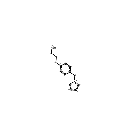 CC(C)(C)CCCc1ccc(Cn2ccnc2)cc1